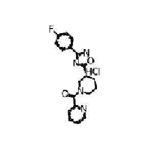 Cl.O=C(c1ccccn1)N1CCC[C@H](c2nc(-c3ccc(F)cc3)no2)C1